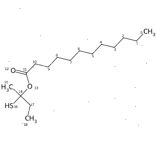 CCCCCCCCCCCC(=O)OC(C)(S)CC